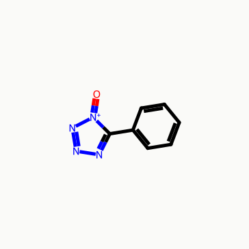 O=[N+]1N=NN=C1c1ccccc1